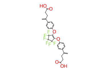 C=C(CCC(=O)O)c1ccc(OC2=C(Oc3ccc(C(=C)CCC(=O)O)cc3)C(F)(F)C(F)(F)C2(F)F)cc1